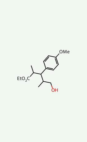 CCOC(=O)C(C)C(c1ccc(OC)cc1)C(C)CO